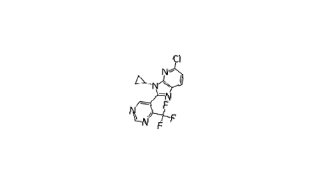 FC(F)(F)c1ncncc1-c1nc2ccc(Cl)nc2n1C1CC1